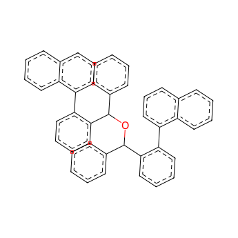 c1ccc(C(OC(c2ccccc2)c2ccccc2-c2cccc3ccccc23)c2ccccc2-c2cccc3ccccc23)cc1